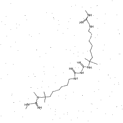 CNC(=N)NCCCCCCC(C)(C)NC(=N)NC(=N)NCCCCCCC(C)(C)N(C)C(=N)NC